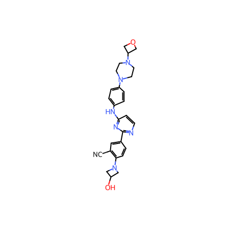 N#Cc1cc(-c2nccc(Nc3ccc(N4CCN(C5COC5)CC4)cc3)n2)ccc1N1CC(O)C1